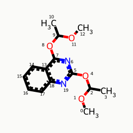 COC(C)Oc1nc(OC(C)OC)c2ccccc2n1